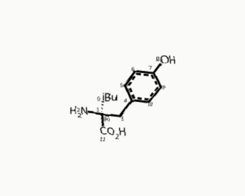 CCC(C)[C@](N)(Cc1ccc(O)cc1)C(=O)O